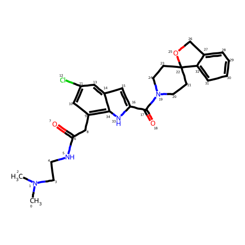 CN(C)CCNC(=O)Cc1cc(Cl)cc2cc(C(=O)N3CCC4(CC3)OCc3ccccc34)[nH]c12